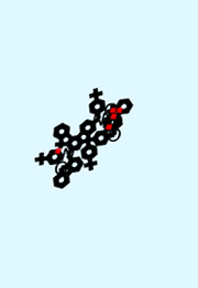 CC(C)(C)c1ccc(N(c2ccc3c(c2)C(c2ccc(C(C)(C)C)cc2)(c2ccc4oc5ccc(C(C)(C)C)cc5c4c2)c2cc(N(c4ccc(C(C)(C)C)cc4)c4cccc5c4oc4ccccc45)c4c(c2-3)-c2ccccc2C4(C)C)c2cccc3c2oc2ccccc23)cc1